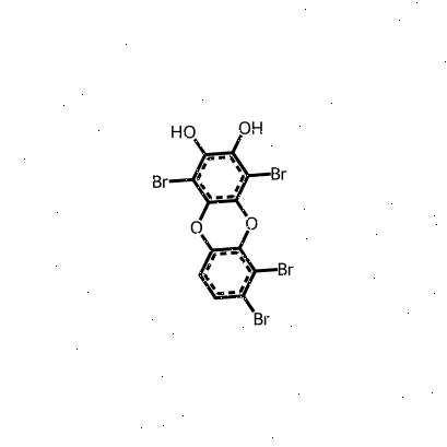 Oc1c(O)c(Br)c2c(c1Br)Oc1ccc(Br)c(Br)c1O2